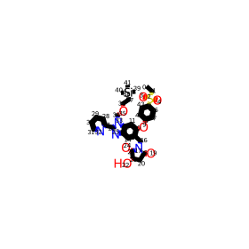 CCS(=O)(=O)c1ccc(Oc2cc3c(cc2CN2C(=O)CC(O)C2=O)nc(-c2ccccn2)n3COCC[Si](C)(C)C)cc1